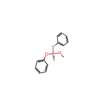 COP(=S)(Oc1ccccc1)Sc1ccccc1